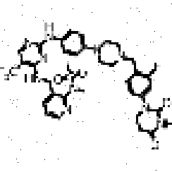 CN(c1ncccc1CNc1nc(Nc2ccc(N3CCN(Cc4ccc(N5CCC(=O)NC5=O)cc4F)CC3)cc2)ncc1C(F)(F)F)S(C)(=O)=O